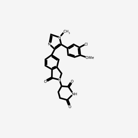 COc1ccc(-c2c(-c3ccc4c(c3)CN(C3CCC(=O)NC3=O)C4=O)ncn2C)cc1Cl